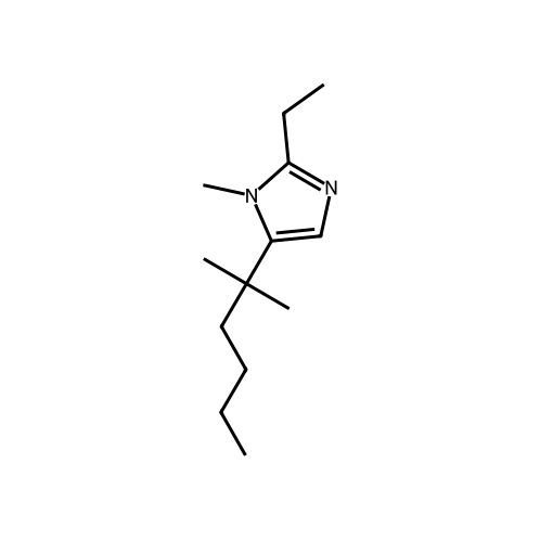 CCCCC(C)(C)c1cnc(CC)n1C